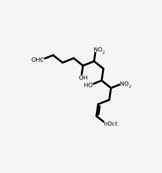 CCCCCCCC/C=C\CC(C(O)CC(C(O)CCC[C]=O)[N+](=O)[O-])[N+](=O)[O-]